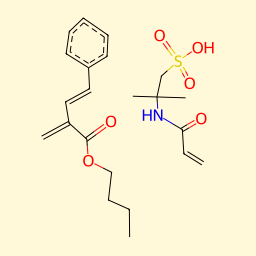 C=C(C=Cc1ccccc1)C(=O)OCCCC.C=CC(=O)NC(C)(C)CS(=O)(=O)O